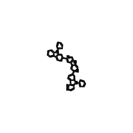 c1ccc(-n2c3ccccc3c3ccc(-c4cc5c(cn4)oc4cnc(-c6ccc7c8nnccc8n(-c8ccccc8)c7c6)cc45)cc32)cc1